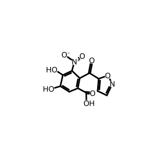 O=C(O)c1cc(O)c(O)c([N+](=O)[O-])c1C(=O)c1ccno1